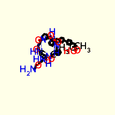 CC(C)(Cc1ccc(-c2ccc(C[C@@H]3NC(=O)[C@]4(Cc5ccccc5)CCCN(C4)C(=O)/C=C/C(=O)NCC[C@@H](C(=O)NCCOCCN)NC(=O)Cc4ccccc4CNC3=O)cc2)cc1)C(=O)O